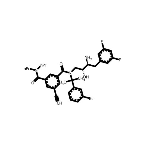 C#Cc1cc(C(=O)N(CCC)CCC)cc(C(=O)N(C[C@@H](O)[C@@H](N)Cc2cc(F)cc(F)c2)C(C)(C)c2cccc(CC)c2)c1